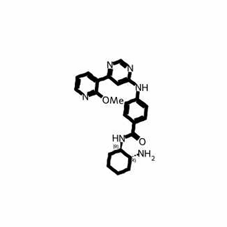 COc1ncccc1-c1cc(Nc2ccc(C(=O)N[C@@H]3CCCC[C@H]3N)cc2)ncn1